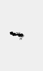 Cc1ccc(N2CCN(C[C@H](O)/C=C/c3ccc4c(c3)CCC(=O)N4)CC2)cc1